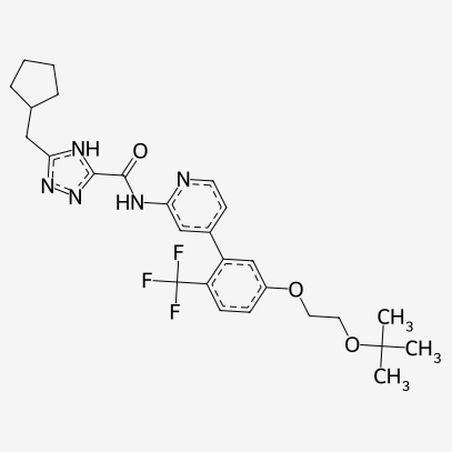 CC(C)(C)OCCOc1ccc(C(F)(F)F)c(-c2ccnc(NC(=O)c3nnc(CC4CCCC4)[nH]3)c2)c1